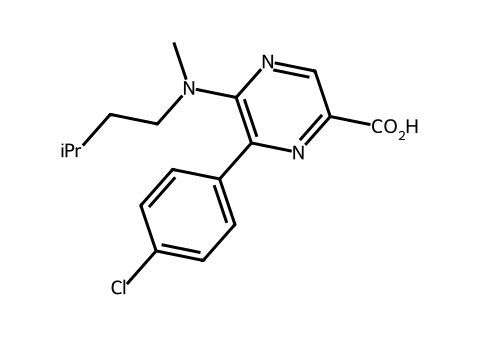 CC(C)CCN(C)c1ncc(C(=O)O)nc1-c1ccc(Cl)cc1